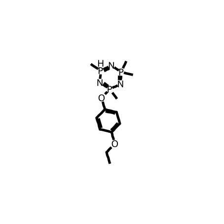 CCOc1ccc(OP2(C)=N[PH](C)=NP(C)(C)=N2)cc1